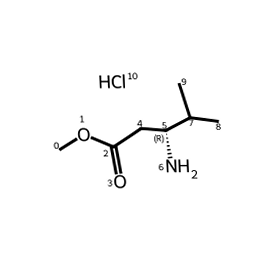 COC(=O)C[C@@H](N)C(C)C.Cl